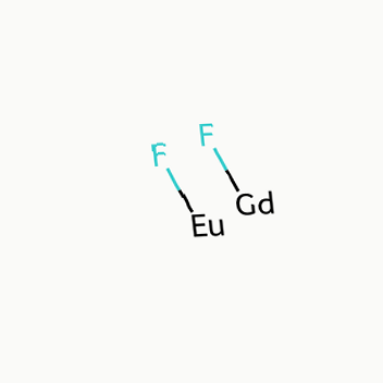 [F][Eu].[F][Gd]